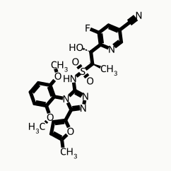 COc1cccc(OC)c1-n1c(NS(=O)(=O)[C@H](C)[C@H](O)c2ncc(C#N)cc2F)nnc1-c1ccc(C)o1